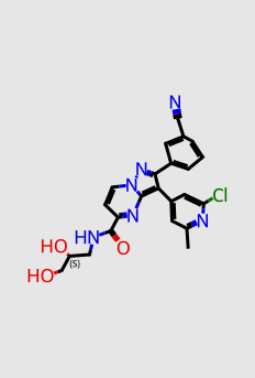 Cc1cc(-c2c(-c3cccc(C#N)c3)nn3ccc(C(=O)NC[C@H](O)CO)nc23)cc(Cl)n1